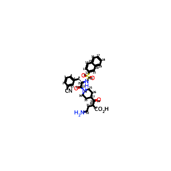 N#Cc1cccc(C[C@H](NS(=O)(=O)c2ccc3ccccc3c2)C(=O)N2CCC(C(=O)C(CCN)C(=O)O)CC2)c1